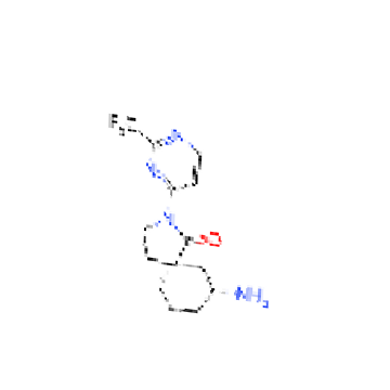 N[C@@H]1CCC[C@@]2(CCN(c3ccnc(C(F)(F)F)n3)C2=O)C1